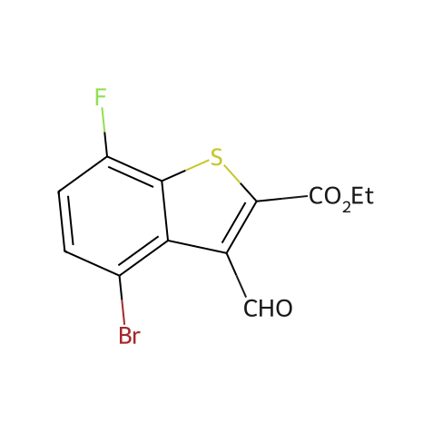 CCOC(=O)c1sc2c(F)ccc(Br)c2c1C=O